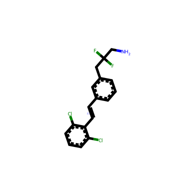 NCC(F)(F)Cc1cccc(/C=C/c2c(Cl)cccc2Cl)c1